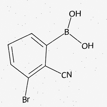 N#Cc1c(Br)cccc1B(O)O